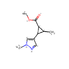 CC1C(C(=O)OC(C)(C)C)C1c1cnn(C)c1